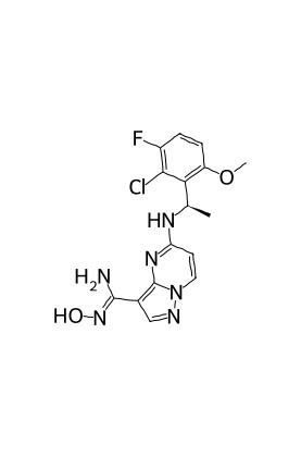 COc1ccc(F)c(Cl)c1[C@@H](C)Nc1ccn2ncc(/C(N)=N/O)c2n1